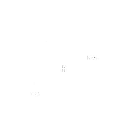 CNC1=CCC(C)c2ccc(OC)cc2N1